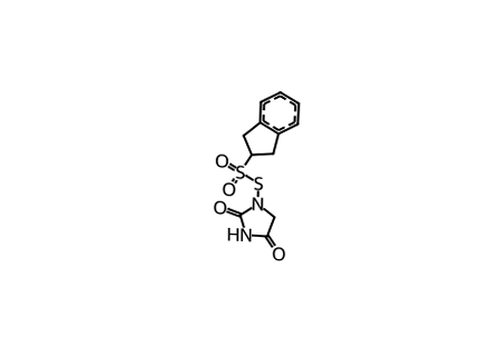 O=C1CN(SS(=O)(=O)C2Cc3ccccc3C2)C(=O)N1